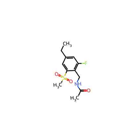 CCc1cc(F)c(CNC(C)=O)c(S(C)(=O)=O)c1